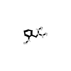 CCOc1ccccc1CP(OCC)OCC